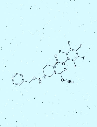 CC(C)(C)OC(=O)N1C[C@H](NOCc2ccccc2)CC[C@H]1C(=O)Oc1c(F)c(F)c(F)c(F)c1F